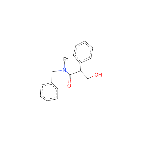 CCN(Cc1ccccc1)C(=O)C(CO)c1ccccc1